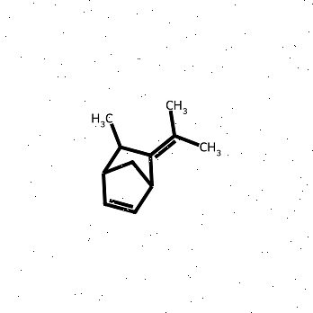 CC(C)=C1C2C=CC(C2)C1C